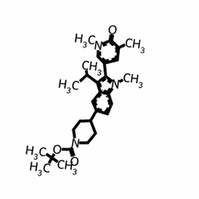 Cc1cc(-c2c(C(C)C)c3cc(C4CCN(C(=O)OC(C)(C)C)CC4)ccc3n2C)cn(C)c1=O